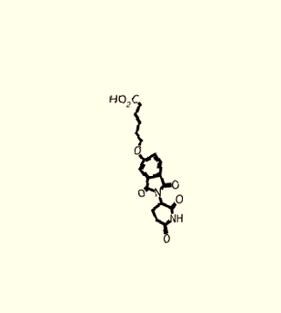 O=C(O)CCCCCOc1ccc2c(c1)C(=O)N(C1CCC(=O)NC1=O)C2=O